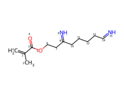 C=C(C)C(=O)OCCC(=N)CCCCC=N